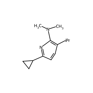 CC(C)c1ccc(C2CC2)nc1N(C)C